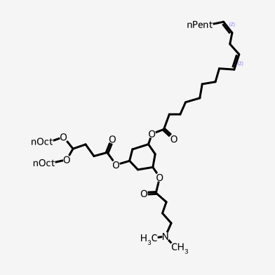 CCCCC/C=C\C/C=C\CCCCCCCC(=O)OC1CC(OC(=O)CCCN(C)C)CC(OC(=O)CCC(OCCCCCCCC)OCCCCCCCC)C1